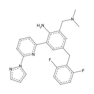 CN(C)Cc1[c]c(Cc2c(F)cccc2F)cc(-c2cccc(-n3cccn3)n2)c1N